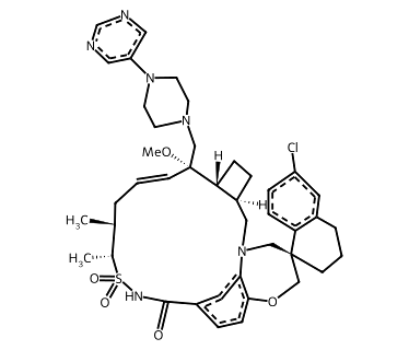 CO[C@@]1(CN2CCN(c3cncnc3)CC2)/C=C/C[C@H](C)[C@@H](C)S(=O)(=O)NC(=O)c2ccc3c(c2)N(C[C@@H]2CC[C@H]21)C[C@@]1(CCCc2cc(Cl)ccc21)CO3